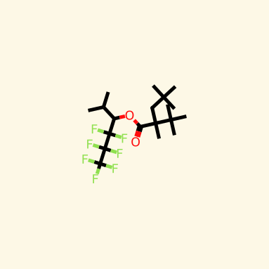 CC(C)C(OC(=O)C(C)(CC(C)(C)C)C(C)(C)C)C(F)(F)C(F)(F)C(F)(F)F